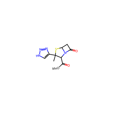 COC(=O)C1N2C(=O)CC2SC1(C)c1c[nH]nn1